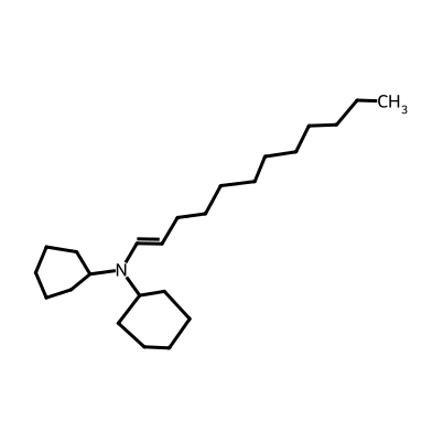 CCCCCCCCCCC=CN(C1CCCCC1)C1CCCCC1